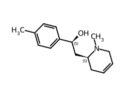 Cc1ccc([C@@H](O)C[C@@H]2CC=CCN2C)cc1